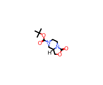 CC(C)(C)OC(=O)N1CCN2C(=O)OC[C@@H]2C1